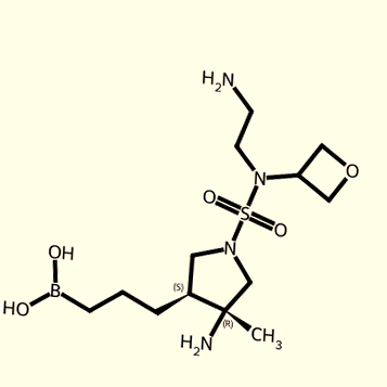 C[C@]1(N)CN(S(=O)(=O)N(CCN)C2COC2)C[C@@H]1CCCB(O)O